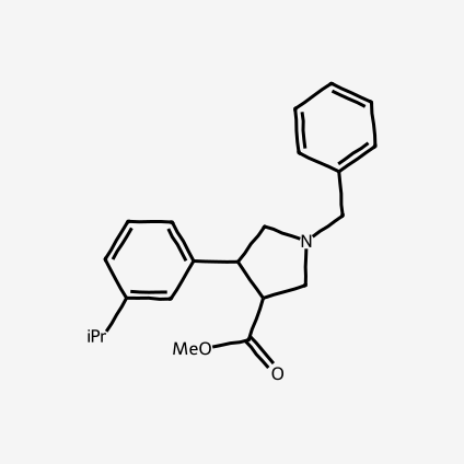 COC(=O)C1CN(Cc2ccccc2)CC1c1cccc(C(C)C)c1